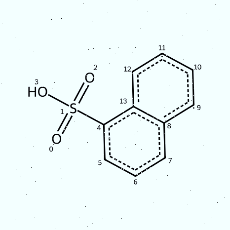 O=S(=O)(O)c1cccc2[c]c[c]cc12